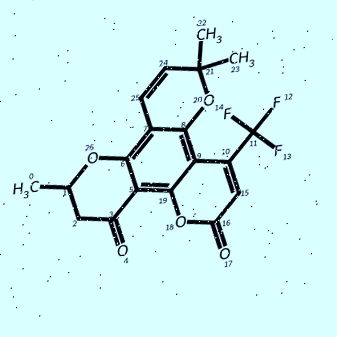 CC1CC(=O)c2c(c3c(c4c(C(F)(F)F)cc(=O)oc24)OC(C)(C)C=C3)O1